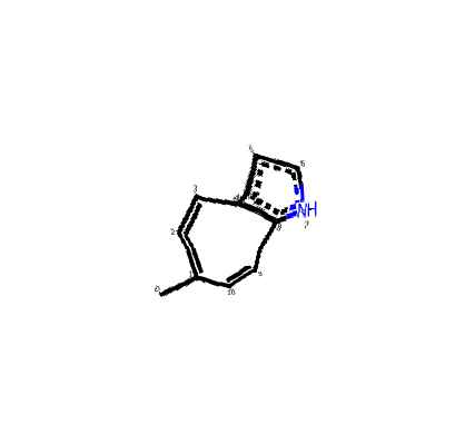 CC1=C=Cc2cc[nH]c2C=C1